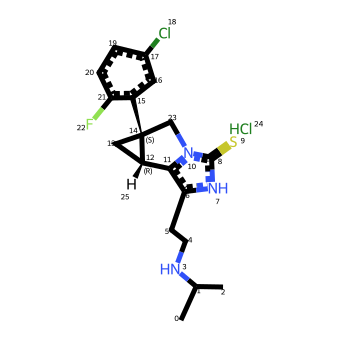 CC(C)NCCc1[nH]c(=S)n2c1[C@@H]1C[C@]1(c1cc(Cl)ccc1F)C2.Cl